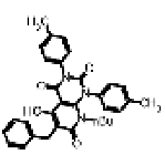 CCCCn1c(=O)c(Cc2ccccc2)c(O)c2c(=O)n(-c3ccc(C)cc3)c(=O)n(-c3ccc(C)cc3)c21